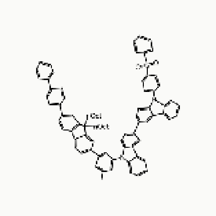 CCCCCCCCC1(CCCCCCCC)c2cc(-c3ccc(-c4ccccc4)cc3)ccc2-c2ccc(-c3cc(C)cc(-n4c5ccccc5c5cc(-c6ccc7c(c6)c6ccccc6n7-c6ccc(S(=O)(=O)c7ccccc7)cc6)ccc54)c3)cc21